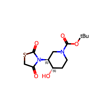 CC(C)(C)OC(=O)N1CC[C@H](O)[C@@H](N2C(=O)CSC2=O)C1